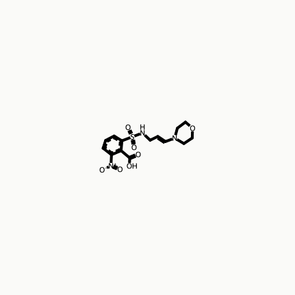 O=C(O)c1c([N+](=O)[O-])cccc1S(=O)(=O)NCC=CN1CCOCC1